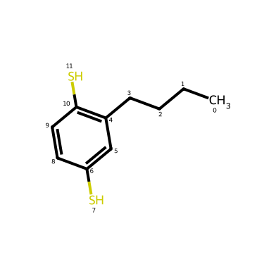 CCCCc1cc(S)ccc1S